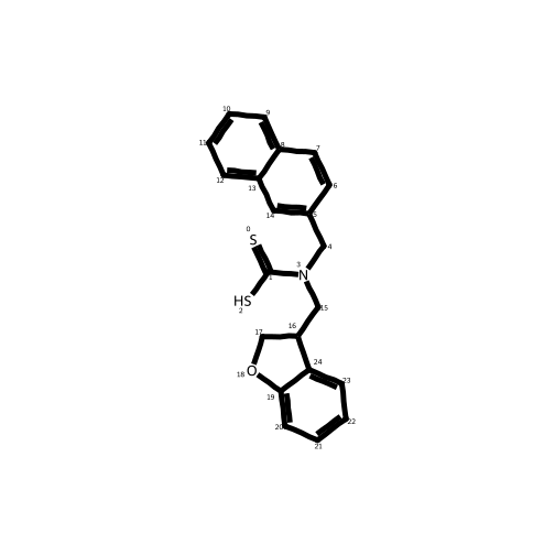 S=C(S)N(Cc1ccc2ccccc2c1)CC1COc2ccccc21